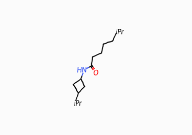 CC(C)CCCCC(=O)NC1CC(C(C)C)C1